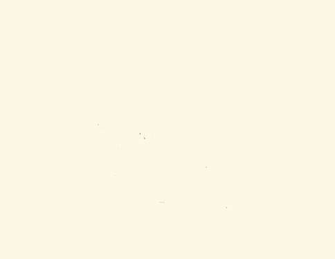 CCCCCC(O)(CO)CO.O=c1[nH]cco1